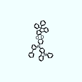 C1=CC2Oc3c(ccc4c3-c3ccccc3C4(c3ccccc3)c3ccccc3)OC2C=C1N(c1cccc(-c2ccccc2)c1)c1ccc2c(c1)c1ccccc1n2-c1ccccc1